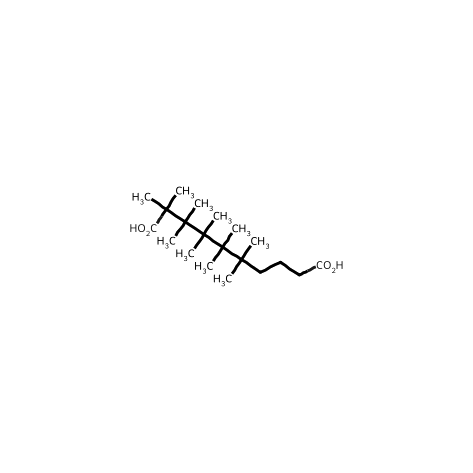 CC(C)(CCCC(=O)O)C(C)(C)C(C)(C)C(C)(C)C(C)(C)C(=O)O